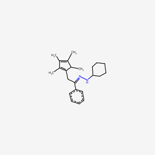 CC1=C(C)C(C)C(CC(=NNC2CCCCC2)c2ccccc2)=C1C